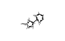 Cn1nnc(-c2ncccn2)n1